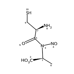 C[C@@H](C(=O)O)N(N=O)C(=O)[C@H](N)CS